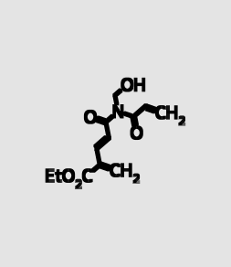 C=CC(=O)N(CO)C(=O)C=CC(=C)C(=O)OCC